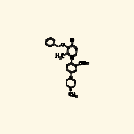 COc1cc(N2CCN(C)CC2)ccc1-n1ccc(=O)c(OCc2ccccc2)c1C